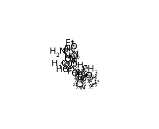 CCOc1nc(N)nc2c1ncn2[C@@H]1O[C@](F)(COP(=O)(Cc2ccccc2)N[C@@H](C)C(=O)OC2CCCCC2)[C@@H](O)[C@@]1(C)O